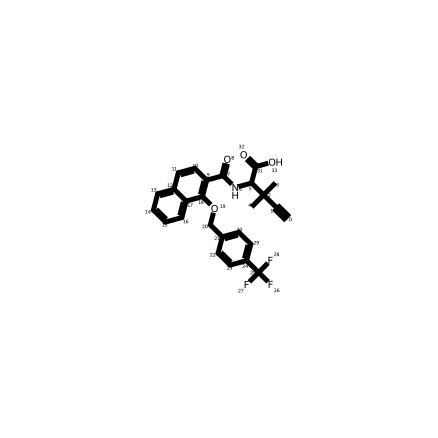 C#CC(C)(C)C(NC(=O)c1ccc2ccccc2c1OCc1ccc(C(F)(F)F)cc1)C(=O)O